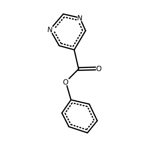 O=C(Oc1ccccc1)c1cncnc1